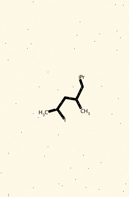 CC(C)CC(C)CC(C)I